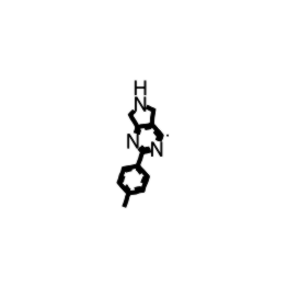 Cc1ccc(-c2n[c]c3c(n2)CNC3)cc1